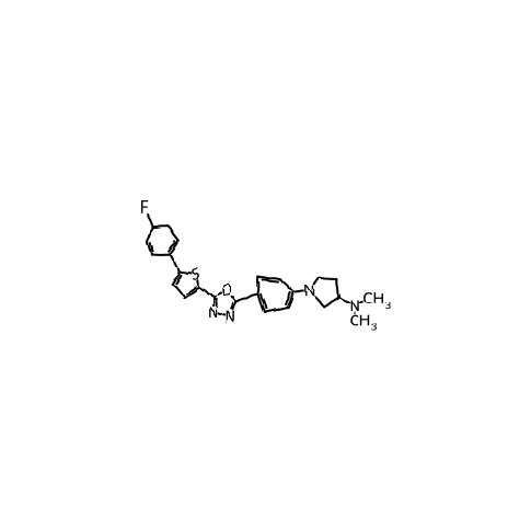 CN(C)C1CCN(c2ccc(-c3nnc(-c4ccc(C5=CCC(F)C=C5)s4)o3)cc2)C1